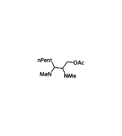 CCCCCC(NC)C(COC(C)=O)NC